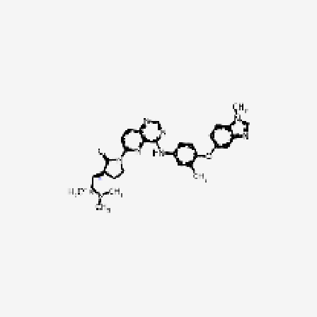 Cc1cc(Nc2ncnc3ccc(N4CC/C(=C\[C@@H](C)N(C)C)C4=O)nc23)ccc1Oc1ccc2c(c1)ncn2C